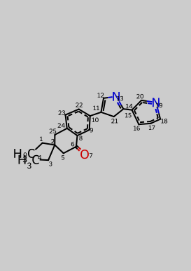 CCC1(CC)CC(=O)c2cc(C3=CN=C(c4cccnc4)C3)ccc2C1